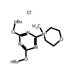 CCCCOc1nc(OCCCC)nc([N+]2(C)CCOCC2)n1.[Cl-]